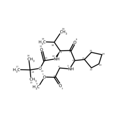 COC(=O)CNC(C(=O)[C@@H](NC(=O)OC(C)(C)C)C(C)C)C1CCCC1